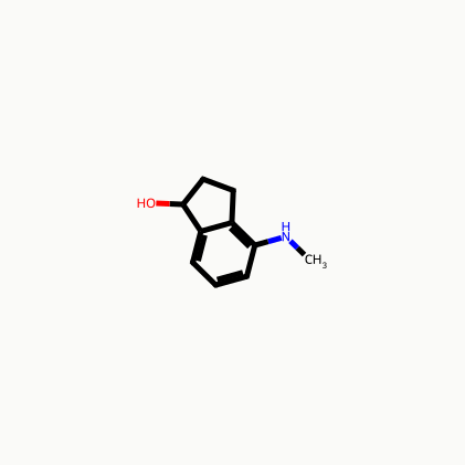 CNc1cccc2c1CCC2O